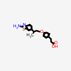 CC(CCOc1ccc(CCC(=O)O)cc1)c1ccc2nc(N)sc2c1